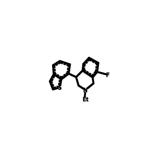 CCN1Cc2c(F)cccc2C(c2cccc3ccsc23)C1